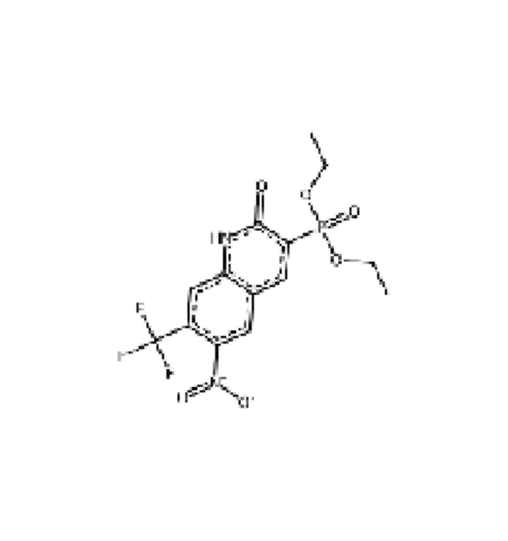 CCOP(=O)(OCC)c1cc2cc([N+](=O)[O-])c(C(F)(F)F)cc2[nH]c1=O